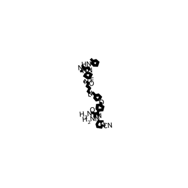 Cc1ccccc1Nc1nc2cc(F)c(N(C)C(=O)/C=C/CN(C)Cc3ccc(Oc4ccc(-c5nn([C@@H]6CCCN(C#N)C6)c(N)c5C(N)=O)cc4)cc3)cc2n2cncc12